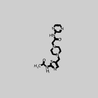 CC(=O)Nc1ncc(CN2CCN(CC(=O)Nc3cnccn3)CC2)s1